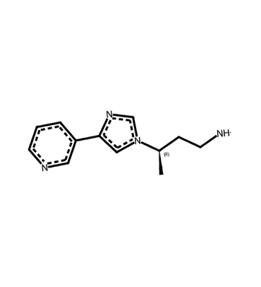 C[C@H](CC[NH])n1cnc(-c2cccnc2)c1